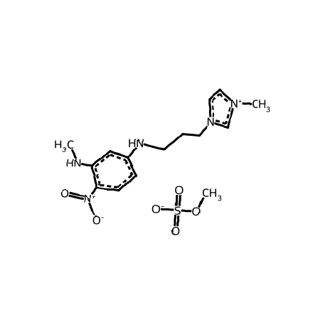 CNc1cc(NCCCn2cc[n+](C)c2)ccc1[N+](=O)[O-].COS(=O)(=O)[O-]